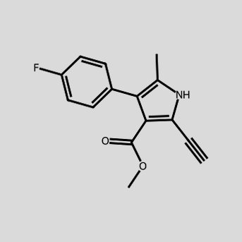 C#Cc1[nH]c(C)c(-c2ccc(F)cc2)c1C(=O)OC